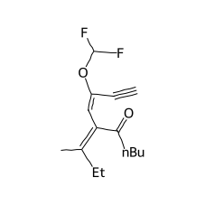 C#C/C(=C\C(C(=O)CCCC)=C(/C)CC)OC(F)F